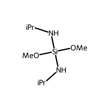 CO[Si](NC(C)C)(NC(C)C)OC